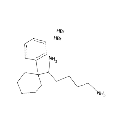 Br.Br.NCCCCC(N)C1(c2ccccc2)CCCCC1